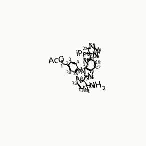 CC(=O)OCc1ccc(-n2c(-c3nccnc3N)nc3ccc(C4(C(C)C)C=NN=N4)nc32)cc1